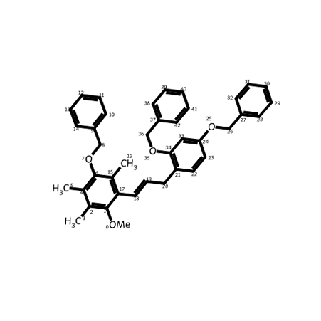 COc1c(C)c(C)c(OCc2ccccc2)c(C)c1/C=C/Cc1ccc(OCc2ccccc2)cc1OCc1ccccc1